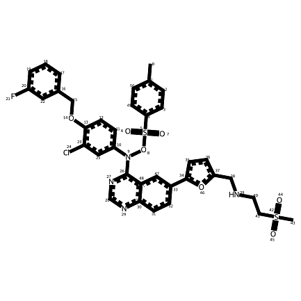 Cc1ccc(S(=O)(=O)ON(c2ccc(OCc3cccc(F)c3)c(Cl)c2)c2ncnc3ccc(-c4ccc(CNCCS(C)(=O)=O)o4)cc23)cc1